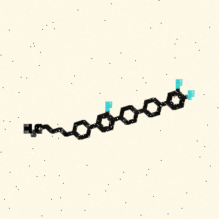 CCCCCC1CCC(c2ccc(C3CCC(C4CCC(c5ccc(F)c(F)c5)CC4)CC3)c(F)c2)CC1